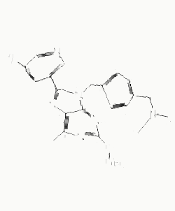 CCCCOc1nc(C)c2nc(-c3cncc(F)c3)n(Cc3ccc(CN(C)C)cc3)c2n1